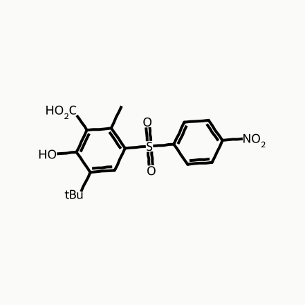 Cc1c(S(=O)(=O)c2ccc([N+](=O)[O-])cc2)cc(C(C)(C)C)c(O)c1C(=O)O